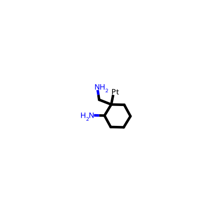 NC[C]1([Pt])CCCCC1N